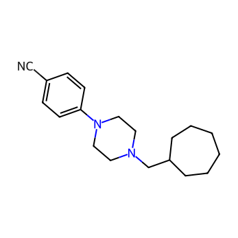 N#Cc1ccc(N2CCN(CC3CCCCCC3)CC2)cc1